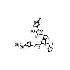 CC(C)n1nnc([C@H]2O[C@@H](n3cnc4c(NC5CCCC5)nc(NCCc5cn(C)cn5)nc43)[C@H](O)[C@@H]2O)n1.O=CO